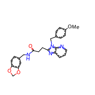 COc1ccc(Cn2c(CCC(=O)NCc3ccc4c(c3)OCO4)nc3cccnc32)cc1